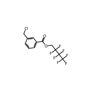 O=C(OCC(F)(F)C(F)(F)C(F)(F)F)c1cccc(CCl)c1